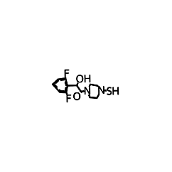 O=C(C(O)c1c(F)cccc1F)N1CCN(S)CC1